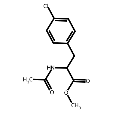 COC(=O)C(Cc1ccc(Cl)cc1)NC(C)=O